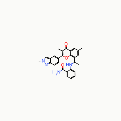 Cc1cc(C(C)Nc2ccccc2C(N)=O)c2oc(-c3ccc4nn(C)cc4c3)c(C)c(=O)c2c1